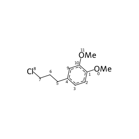 COc1ccc(CCCCl)cc1OC